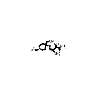 N#CCC1(N/C=C(/N)C(=N)C(N)=O)CCN(CC(F)(F)F)CC1